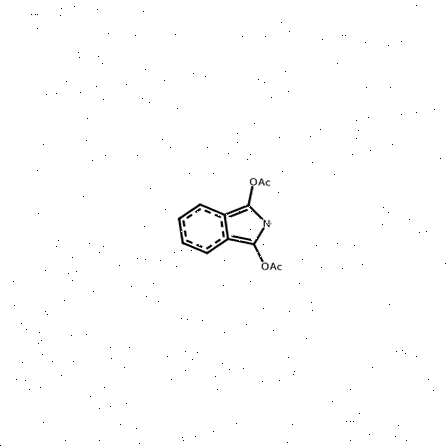 CC(=O)OC1=c2ccccc2=C(OC(C)=O)[N]1